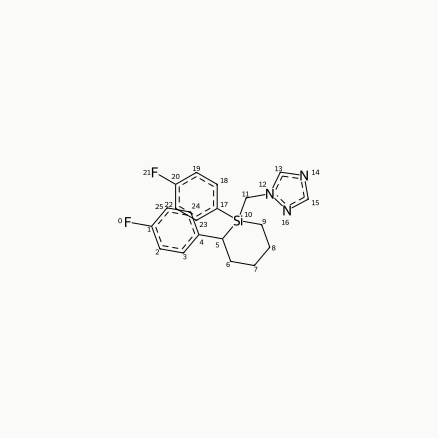 Fc1ccc(C2CCCC[Si]2(Cn2cncn2)c2ccc(F)cc2)cc1